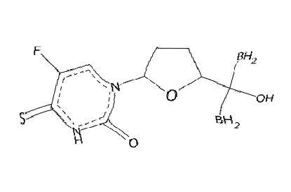 BC(B)(O)C1CCC(n2cc(F)c(=S)[nH]c2=O)O1